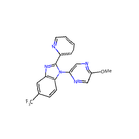 COc1cnc(-n2c(-c3ccccn3)nc3cc(C(F)(F)F)ccc32)cn1